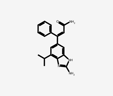 CC(C)c1cc(C(=CC(N)=O)c2ccccc2)cc2[nH]c(N)nc12